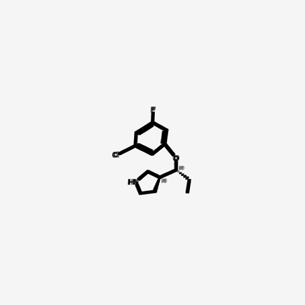 CC[C@@H](Oc1cc(F)cc(Cl)c1)[C@H]1CCNC1